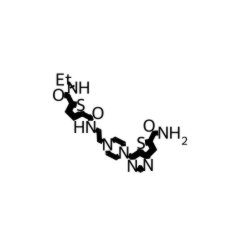 CCNC(=O)c1ccc(C(=O)NCCN2CCN(c3ncnc4cc(C(N)=O)sc34)CC2)s1